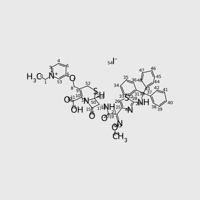 CC[n+]1cccc(OCC2=C(C(=O)O)N3C(=O)[C@@H](NC(=O)/C(=N\OC)c4csc(NC(c5ccccc5)(c5ccccc5)c5ccccc5)n4)[C@H]3SC2)c1.[I-]